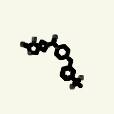 CS(=O)(=O)c1cccc(CN2CCN(C(=O)N3CC4(COC(=O)N4)C3)CC2)c1